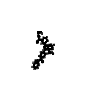 CC#CC(=O)N1CCC[C@@H](n2nc(-c3ccc(C(=O)Nc4ccccn4)cc3)c3c(N)ncnc32)C1